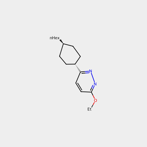 CCCCCC[C@H]1CC[C@H](c2ccc(OCC)nn2)CC1